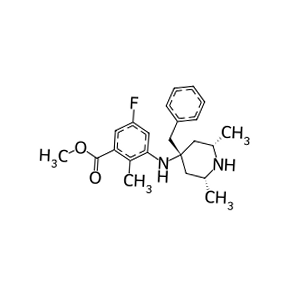 COC(=O)c1cc(F)cc(N[C@@]2(Cc3ccccc3)C[C@@H](C)N[C@@H](C)C2)c1C